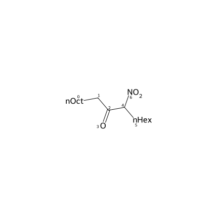 CCCCCCCCCC(=O)C(CCCCCC)[N+](=O)[O-]